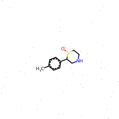 Cc1ccc(C2CNCC[S+]2[O-])cc1